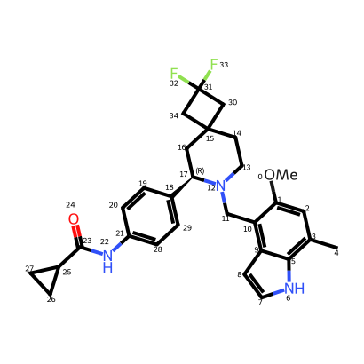 COc1cc(C)c2[nH]ccc2c1CN1CCC2(C[C@@H]1c1ccc(NC(=O)C3CC3)cc1)CC(F)(F)C2